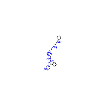 c1ccc2c(N3CCNCC3)nc(NCc3nnn(CCCNCCCNC4CCCCC4)n3)nc2c1